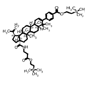 C=C(C)[C@@H]1CC[C@]2(C(=O)NCCC(=O)OCC[Si](C)(C)C)CC[C@]3(C)[C@H](CC[C@@H]4[C@@]5(C)CC=C(c6ccc(C(=O)OCC[Si](C)(C)C)cc6)C(C)(C)[C@@H]5CC[C@]43C)[C@@H]12